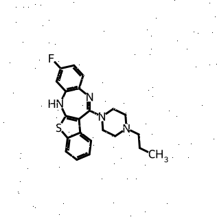 CCCN1CCN(C2=Nc3ccc(F)cc3Nc3sc4ccccc4c32)CC1